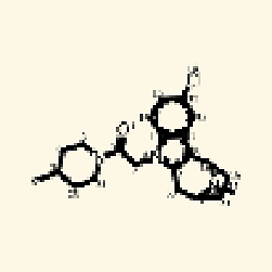 CC1CCN(C(=O)Cn2c3c(c4cc(Cl)ccc42)C2CCC(C3)N2C)CC1